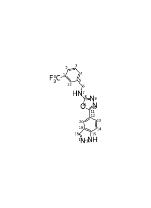 FC(F)(F)c1cccc(CNc2nnc(-c3ccc4[nH]ncc4c3)o2)c1